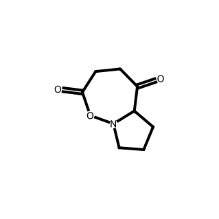 O=C1CCC(=O)[C]2CCCN2O1